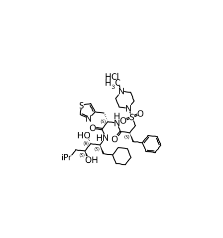 CC(C)C[C@H](O)[C@H](O)[C@H](CC1CCCCC1)NC(=O)[C@H](Cc1cscn1)NC(=O)[C@H](Cc1ccccc1)CS(=O)(=O)N1CCN(C)CC1.Cl